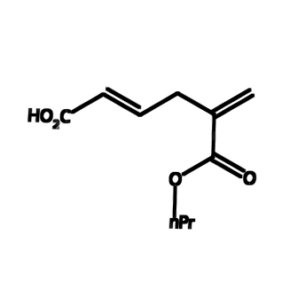 C=C(CC=CC(=O)O)C(=O)OCCC